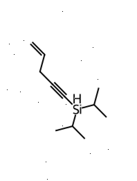 C=CCC#C[SiH](C(C)C)C(C)C